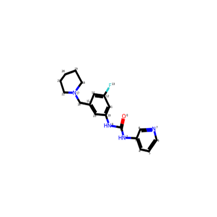 O=C(Nc1cccnc1)Nc1cc(F)cc(CN2CCCCC2)c1